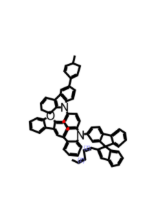 C/C=C\C=C/C1=Cc2ccccc2C12c1ccccc1-c1ccc(N(c3ccc(-n4c5c(c6cc(C7=CCC(C)C=C7)ccc64)C=CCC5)cc3)c3ccccc3-c3ccc4oc5ccccc5c4c3)cc12